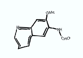 COc1cc2ncccc2cc1NC=O